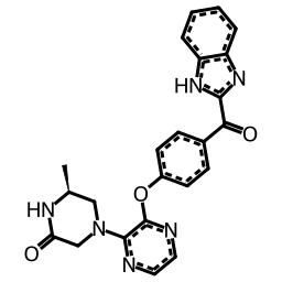 C[C@H]1CN(c2nccnc2Oc2ccc(C(=O)c3nc4ccccc4[nH]3)cc2)CC(=O)N1